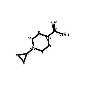 CC(C)(C)C(=O)N1CCN(C2CC2)CC1